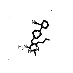 CCCCc1nc(C)nc(N)c1Cc1ccc(-c2ccccc2C#N)cc1